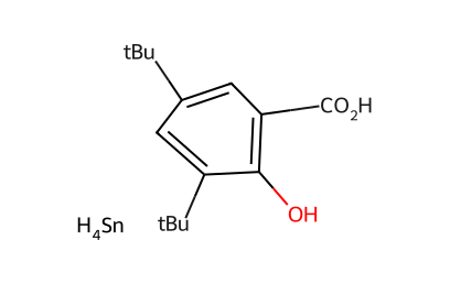 CC(C)(C)c1cc(C(=O)O)c(O)c(C(C)(C)C)c1.[SnH4]